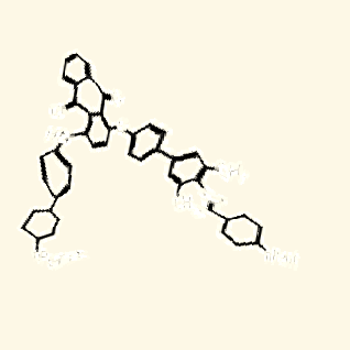 CCCCCC1CCC(COc2c(C)cc(-c3ccc(Sc4ccc(Nc5ccc(C6CCC(CCCCC)CC6)cc5)c5c4C(=O)c4ccccc4C5=O)cc3)cc2C)CC1